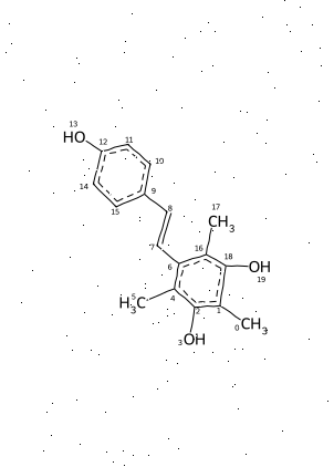 Cc1c(O)c(C)c(C=Cc2ccc(O)cc2)c(C)c1O